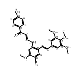 COc1cc(NC=CC(=O)c2ccc(O)cc2)c(C=Cc2cc(OC)c(OC)c(OC)c2)cc1F